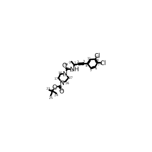 CC(C#Cc1ccc(Cl)c(Cl)c1)NC(=O)N1CCN(C(=O)OC(C)(C)C)CC1